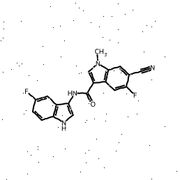 Cn1cc(C(=O)Nc2c[nH]c3ccc(F)cc23)c2cc(F)c(C#N)cc21